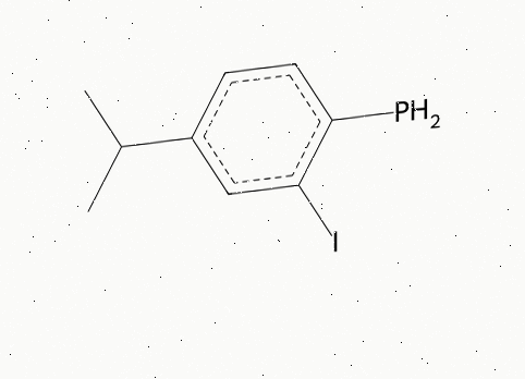 CC(C)c1ccc(P)c(I)c1